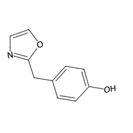 Oc1ccc(Cc2ncco2)cc1